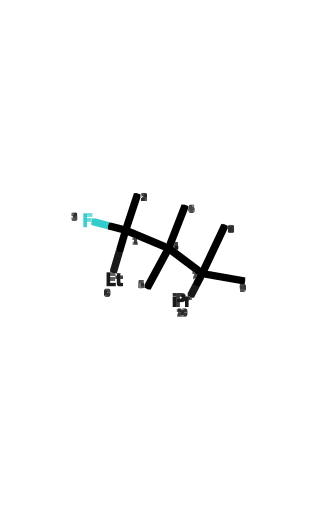 CCC(C)(F)C(C)(C)C(C)(C)C(C)C